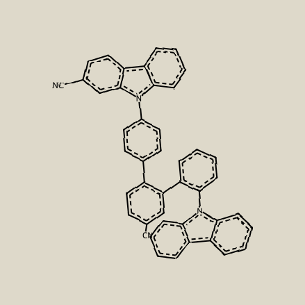 N#Cc1ccc(-c2ccc(-n3c4ccccc4c4ccc(C#N)cc43)cc2)c(-c2ccccc2-n2c3ccccc3c3ccccc32)c1